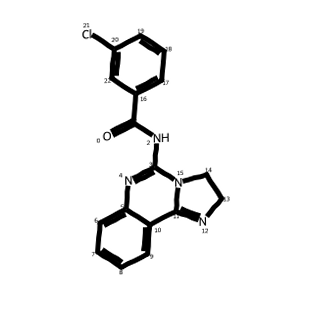 O=C(NC1=Nc2ccccc2C2=NCCN12)c1cccc(Cl)c1